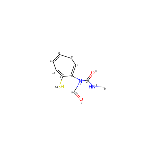 CNC(=O)N(C=O)C1=CCC=CC=C1S